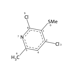 CSc1c(Cl)cc(C)nc1Cl